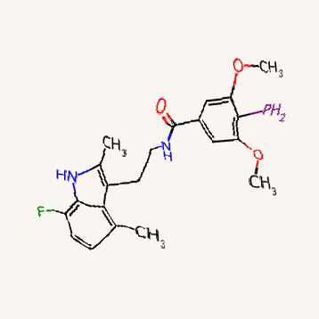 COc1cc(C(=O)NCCc2c(C)[nH]c3c(F)ccc(C)c23)cc(OC)c1P